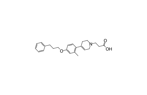 Cc1cc(OCCCc2ccccc2)ccc1C1=CCN(CCC(=O)O)CC1